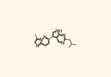 Cc1cnc2ccc(-c3c[nH]c4nc(CC(C)C)ncc34)nn12